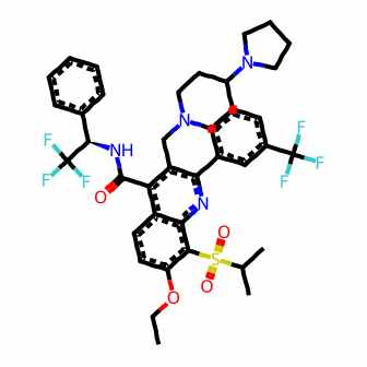 CCOc1ccc2c(C(=O)N[C@H](c3ccccc3)C(F)(F)F)c(CN3CCC(N4CCCC4)CC3)c(-c3cccc(C(F)(F)F)c3)nc2c1S(=O)(=O)C(C)C